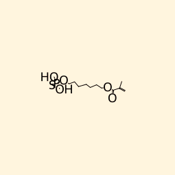 C=C(C)C(=O)OCCCCCCCOP(O)(O)=S